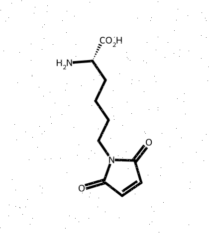 N[C@@H](CCCCN1C(=O)C=CC1=O)C(=O)O